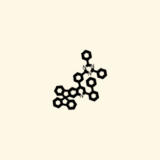 c1ccc(-c2nc(-c3ccccc3)nc(-c3cccc(-c4cc(-c5ccccc5-c5ccccc5)nc5cc6c(cc45)-c4ccccc4C64c5ccccc5-c5ccccc54)c3)n2)cc1